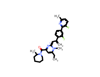 C=C(/C=C1/N=C(C(=O)N2CCCCCC2C)C=C(CC)N1C)c1ccc(-c2nc(C)ccc2F)cc1F